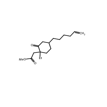 C=CCCCCC1CCC(CC)(CC(=O)OC)C(=O)C1